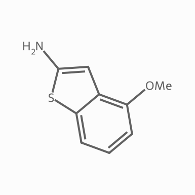 COc1cccc2sc(N)cc12